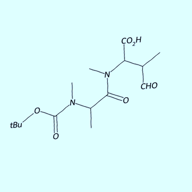 CC(C=O)C(C(=O)O)N(C)C(=O)C(C)N(C)C(=O)OC(C)(C)C